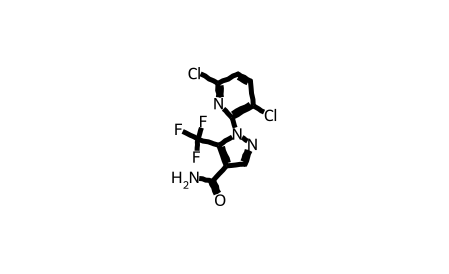 NC(=O)c1cnn(-c2nc(Cl)ccc2Cl)c1C(F)(F)F